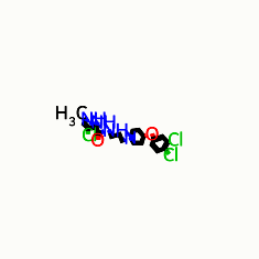 CN/C=C(/Cl)C(=N)C(=O)NCCCN1CCC(Oc2ccc(Cl)c(Cl)c2)CC1